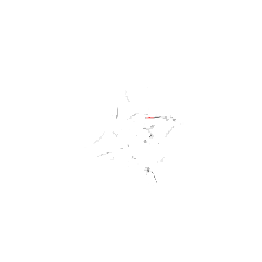 CC1(C(c2ccccc2)(c2ccccc2)c2ccccc2)OC(=O)CC1C1CC1